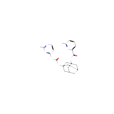 Cc1cccc(C(=O)NC23CC4CC(CC(NC(=O)Oc5ccnc(C)n5)(C4)C2)C3)n1